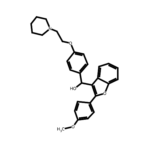 COc1ccc(-c2oc3ccccc3c2C(O)c2ccc(OCCN3CCCCC3)cc2)cc1